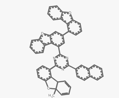 CC12C=CC=CC1c1c(cccc1-c1nc(-c3ccc4ccccc4c3)nc(-c3cc(-c4cccc5oc6ccccc6c45)cc4oc5ccccc5c34)n1)O2